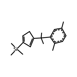 Cc1ccc(C)c(C(C)(C)C2=CC([Si](C)(C)C)=CC2)c1